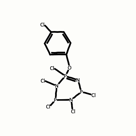 Clc1ccc(OP2(Cl)=NP(Cl)N(Cl)P(Cl)N2Cl)cc1